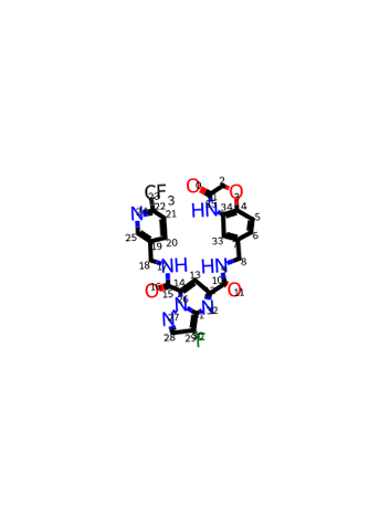 O=C1COc2ccc(CNC(=O)c3cc(C(=O)NCc4ccc(C(F)(F)F)nc4)n4ncc(F)c4n3)cc2N1